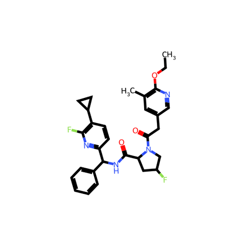 CCOc1ncc(CC(=O)N2CC(F)CC2C(=O)NC(c2ccccc2)c2ccc(C3CC3)c(F)n2)cc1C